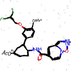 COc1ccc(C2C[C@H](OC(C)=O)CCC2NC(=O)C2=CC3=CNON3C=C2)cc1OCC(F)F